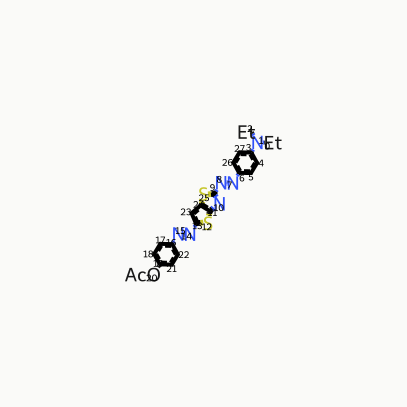 CCN(CC)c1ccc(N=Nc2nc3sc(N=Nc4ccc(OC(C)=O)cc4)cc3s2)cc1